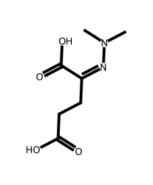 CN(C)/N=C(/CCC(=O)O)C(=O)O